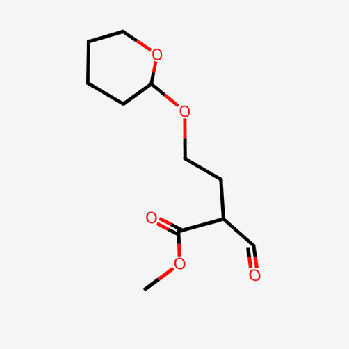 COC(=O)C(C=O)CCOC1CCCCO1